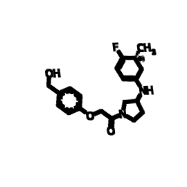 C[C@@H]1CC(NC2CCN(C(=O)COc3ccc(CO)cc3)C2)=CC=C1F